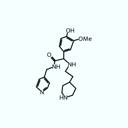 COc1cc(C(NCCC2CCNCC2)C(=O)NCc2ccncc2)ccc1O